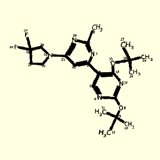 Cc1nc(-c2cnc(OC(C)(C)C)nc2OC(C)(C)C)cc(N2C[CH]C(F)(F)C2)n1